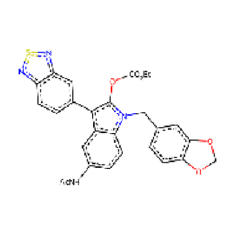 CCOC(=O)Oc1c(-c2ccc3nsnc3c2)c2cc(NC(C)=O)ccc2n1Cc1ccc2c(c1)OCO2